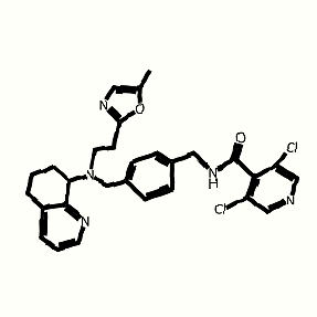 Cc1cnc(CCN(Cc2ccc(CNC(=O)c3c(Cl)cncc3Cl)cc2)C2CCCc3cccnc32)o1